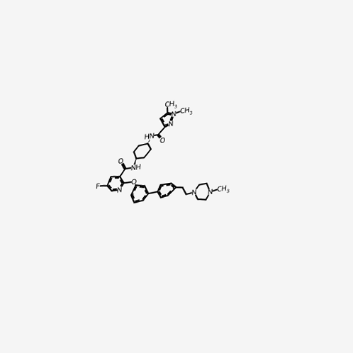 Cc1cc(C(=O)N[C@H]2CC[C@H](NC(=O)c3cc(F)cnc3Oc3cccc(-c4ccc(CCN5CCN(C)CC5)cc4)c3)CC2)nn1C